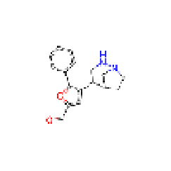 O=Cc1cc(C2CNN3CCC2C3)c(-c2ccccc2)o1